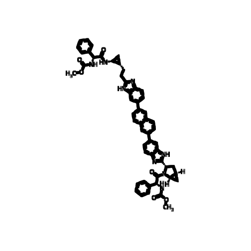 COC(=O)N[C@@H](C(=O)N[C@@H]1C[C@@H]1CCc1nc2ccc(-c3ccc4cc(-c5ccc6nc([C@@H]7C[C@H]8C[C@H]8N7C(=O)[C@H](NC(=O)OC)c7ccccc7)[nH]c6c5)ccc4c3)cc2[nH]1)c1ccccc1